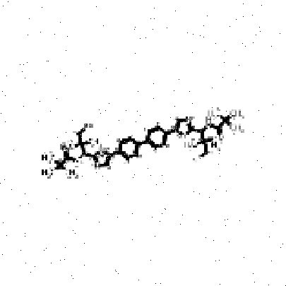 CC(C)(C)C(=O)NC(c1ncc(-c2ccc(-c3ccc(-c4cnc([C@@H](NC(=O)C(C)(C)C)C(C)(C)CF)[nH]4)cc3)cc2)[nH]1)C(C)(C)CF